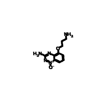 NCCCOc1cccc2c1nc(N)n[n+]2[O-]